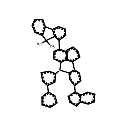 CC1(C)c2ccccc2-c2cccc(-c3ccc(N(c4cccc(-c5ccccc5)c4)c4cc(-c5cccc6ccccc56)ccc4-c4ccccc4)cc3)c21